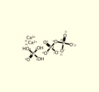 O=P(O)(O)O.O=P([O-])([O-])OP(=O)([O-])[O-].[Ca+2].[Ca+2]